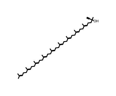 C#CC(C)(O)CC/C=C(\C)CC/C=C(\C)CC/C=C(\C)CC/C=C(\C)CC/C=C(\C)CC/C=C(\C)CC/C=C(\C)CC/C=C(\C)CCC=C(C)C